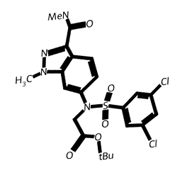 CNC(=O)c1nn(C)c2cc(N(CC(=O)OC(C)(C)C)S(=O)(=O)c3cc(Cl)cc(Cl)c3)ccc12